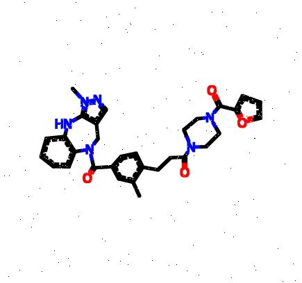 Cc1cc(C(=O)N2Cc3cnn(C)c3Nc3ccccc32)ccc1CCC(=O)N1CCN(C(=O)c2ccco2)CC1